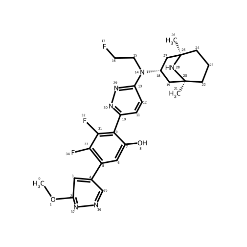 COc1cc(-c2cc(O)c(-c3ccc(N(CCF)[C@H]4C[C@]5(C)CCC[C@](C)(C4)N5)nn3)c(F)c2F)cnn1